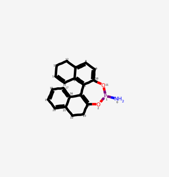 Np1oc2c(c3c4c(ccc3o1)CCC=C4)-c1ccccc1CC2